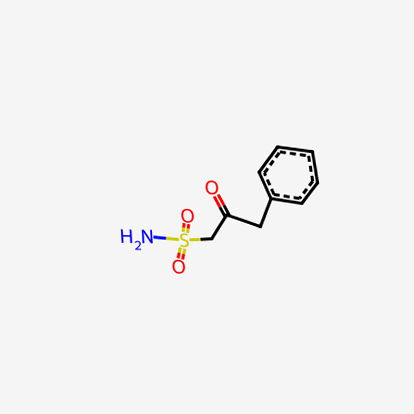 NS(=O)(=O)CC(=O)Cc1ccccc1